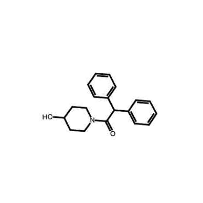 O=C(C(c1ccccc1)c1ccccc1)N1CCC(O)CC1